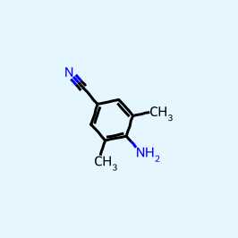 Cc1cc(C#N)cc(C)c1N